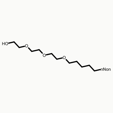 CCCCCCCCCCCCCCOCCOCCOCCO